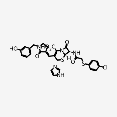 O=C(CSc1ccc(Cl)cc1)N[C@@H]1C(=O)N2C(C(=O)O)=C(C=C3CCN(Cc4cccc(O)c4)C3=O)CS[C@H]12.c1c[nH]cn1